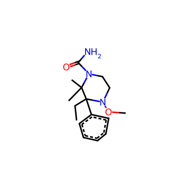 CCC1(c2ccccc2)N(OC)CCN(C(N)=O)C1(C)C